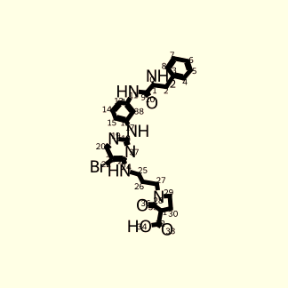 N[C@H](Cc1ccccc1)C(=O)Nc1cccc(Nc2ncc(Br)c(NCCCN3CCC(C(=O)O)C3=O)n2)c1